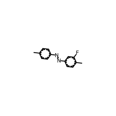 Cc1ccc(N=Nc2ccc(C)c(F)c2)cc1